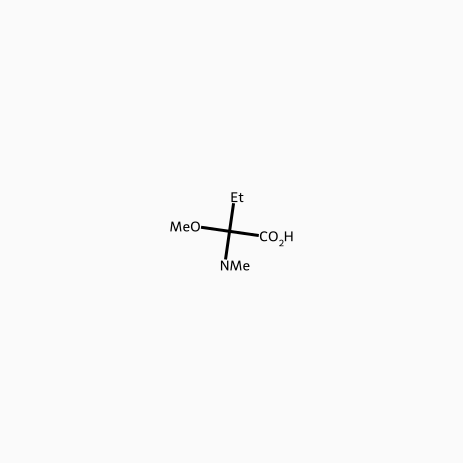 CCC(NC)(OC)C(=O)O